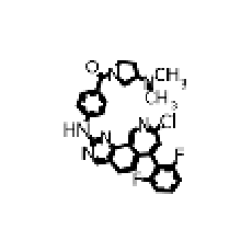 CN(C)C1CCN(C(=O)c2ccc(Nc3ncc4c(n3)C3=CN=C(Cl)C=C(c5c(F)cccc5F)C3=CC4)cc2)C1